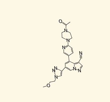 COCCn1cc(-c2cc(-c3ccc(N4CCN(C(C)=O)CC4)nc3)c3c(C#N)cnn3c2)nn1